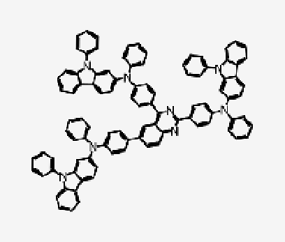 c1ccc(N(c2ccc(-c3ccc4nc(-c5ccc(N(c6ccccc6)c6ccc7c8ccccc8n(-c8ccccc8)c7c6)cc5)nc(-c5ccc(N(c6ccccc6)c6ccc7c8ccccc8n(-c8ccccc8)c7c6)cc5)c4c3)cc2)c2ccc3c4ccccc4n(-c4ccccc4)c3c2)cc1